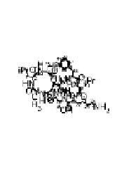 CC(C)C[C@@H]1NC(=O)[C@@H](C)NC(=O)[C@@H](NC(=O)[C@@H](CO)NC(=O)[C@H](CCCCN)NC(=O)[C@@H](CC(C)C)NC(=O)[C@H](N)Cc2ccccc2)[C@H](C(N)O)OC(=O)[C@@H](CC(C)C)NC1=O